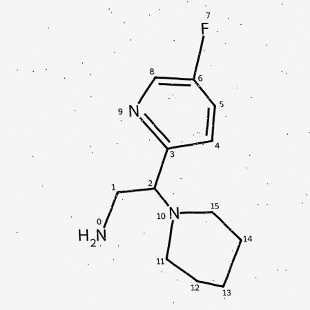 NCC(c1ccc(F)cn1)N1CCCCC1